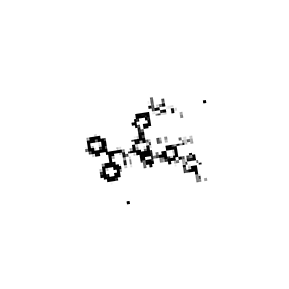 CCc1nnn([C@H]2C[C@@H](n3cnc4c(NCC(c5ccccc5)c5ccccc5)nc(N5CCC(NS(C)(=O)=O)C5)nc43)[C@H](O)[C@@H]2O)n1